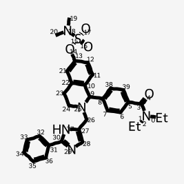 CCN(CC)C(=O)c1ccc(C2c3ccc(OS(=O)(=O)N(C)C)cc3CCN2Cc2cnc(-c3ccccc3)[nH]2)cc1